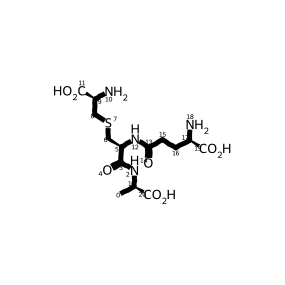 C[C@@H](NC(=O)[C@@H](CSC[C@H](N)C(=O)O)NC(=O)CC[C@@H](N)C(=O)O)C(=O)O